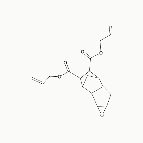 C=CCOC(=O)C1C2CC(C1C(=O)OCC=C)C1C2CC2OC21